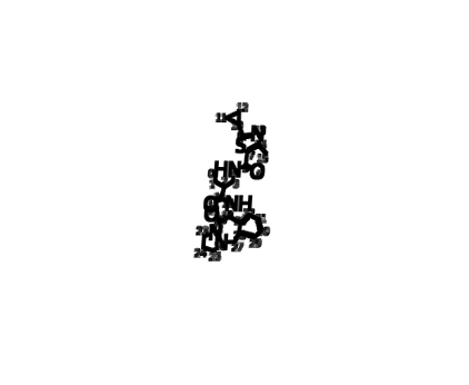 CCC(CNC(=O)c1sc(C2CC2)nc1C)C(=O)N[C@@H]1C(=O)N2CCCN2Cc2ccccc21